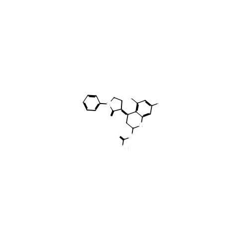 O=C(O)OC1CC(=C2CCN(c3ccccc3)C2=O)c2c(Cl)cc(Cl)cc2N1